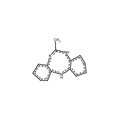 Cc1nc2ccccc2[nH]c2ccccc2[nH]1